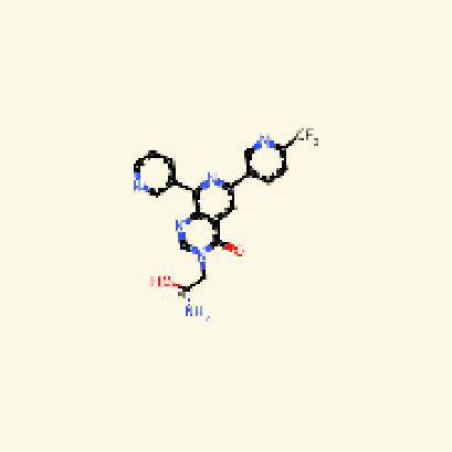 N[C@H](O)Cn1cnc2c(-c3cccnc3)nc(-c3ccc(C(F)(F)F)nc3)cc2c1=O